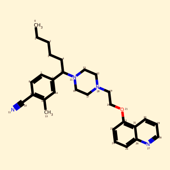 CCCCCC(c1ccc(C#N)c(C)c1)N1CCN(CCOc2cccc3ncccc23)CC1